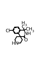 CC1(C)NC(=O)C2(CCNCC2)c2cc(Cl)ccc21